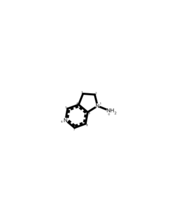 NN1CCc2cnccc21